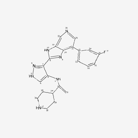 C=C(Nc1c[nH]nc1-c1nc2c(-c3cccc(F)c3)cncc2[nH]1)C1CCNCC1